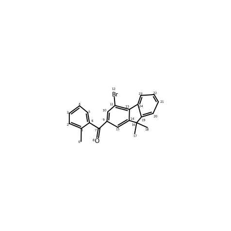 Cc1ccccc1C(=O)c1cc(Br)c2c(c1)C(C)(C)c1ccccc1-2